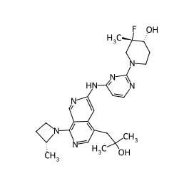 C[C@@H]1CCN1c1ncc(CC(C)(C)O)c2cc(Nc3ccnc(N4CC[C@@H](O)[C@@](C)(F)C4)n3)ncc12